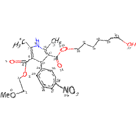 COCCOC(=O)C1=C(C)NC(C)=C(C(=O)OCCCCCCO)C1c1cccc([N+](=O)[O-])c1